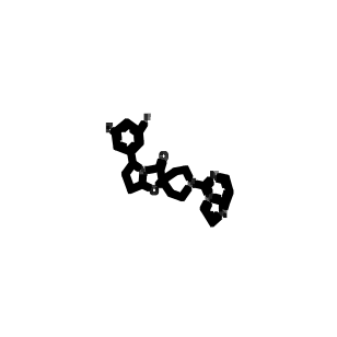 O=C1N2C(CCC2c2cc(F)cc(F)c2)OC12CCN(c1nccc3nccn13)CC2